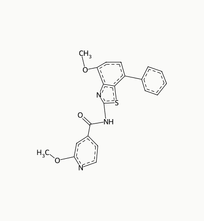 COc1cc(C(=O)Nc2nc3c(OC)ccc(-c4ccccc4)c3s2)ccn1